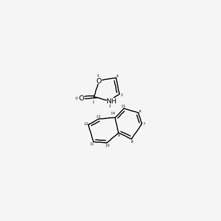 O=c1[nH]cco1.c1ccc2ccccc2c1